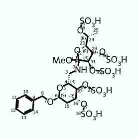 CO[C@@]1(NC[C@H]2O[C@H](OCc3ccccc3)[CH][C@@H](OS(=O)(=O)O)[C@@H]2OS(=O)(=O)O)O[C@H]([C@@H](C)OS(=O)(=O)O)[C@H](OS(=O)(=O)O)[C@H]1OS(=O)(=O)O